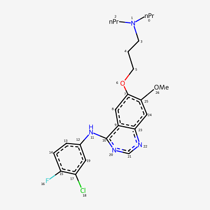 CCCN(CCC)CCCOc1cc2c(Nc3ccc(F)c(Cl)c3)ncnc2cc1OC